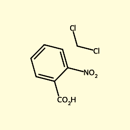 ClCCl.O=C(O)c1ccccc1[N+](=O)[O-]